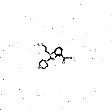 NCCn1c(N2CCNCC2)nc2c(C(N)=O)cccc21